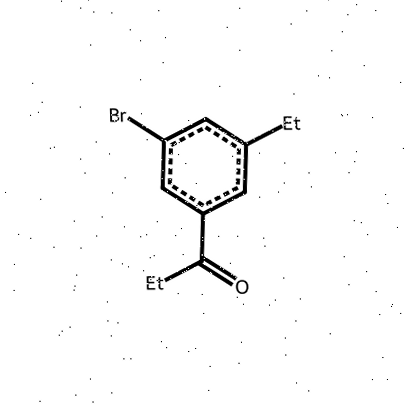 CCC(=O)c1cc(Br)cc(CC)c1